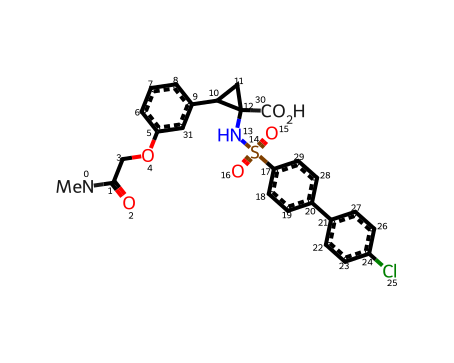 CNC(=O)COc1cccc(C2CC2(NS(=O)(=O)c2ccc(-c3ccc(Cl)cc3)cc2)C(=O)O)c1